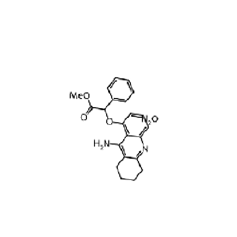 COC(=O)C(Oc1cccc2nc3c(c(N)c12)CCCC3)c1ccccc1.O